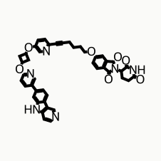 O=C1CCC(N2C(=O)c3ccc(OCCCCC#Cc4ccc(OC5CC(Oc6ccc(-c7ccc8c(c7)[nH]c7ccncc78)cn6)C5)cn4)cc3C2=O)C(=O)N1